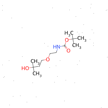 CC(C)(O)CCOCCNC(=O)OC(C)(C)C